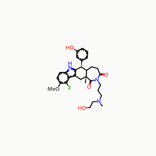 COc1ccc2[nH]c3c(c2c1F)C[C@@]1(C)C(=O)N(CCCN(C)CCO)C(=O)CCC1[C@@H]3c1cccc(O)c1